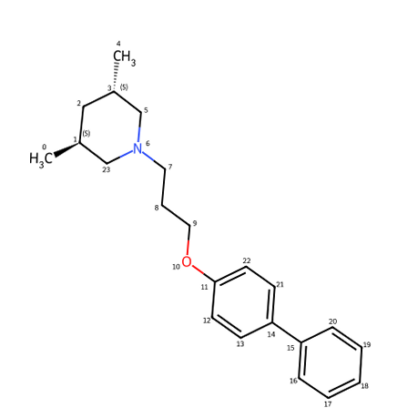 C[C@H]1C[C@H](C)CN(CCCOc2ccc(-c3ccccc3)cc2)C1